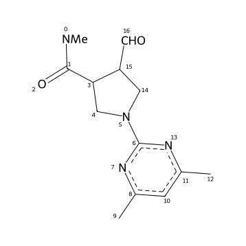 CNC(=O)C1CN(c2nc(C)cc(C)n2)CC1C=O